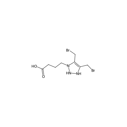 O=C(O)CCCN1NNC(CBr)=C1CBr